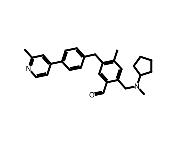 Cc1cc(-c2ccc(Cc3cc(C=O)c(CN(C)C4CCCC4)cc3C)cc2)ccn1